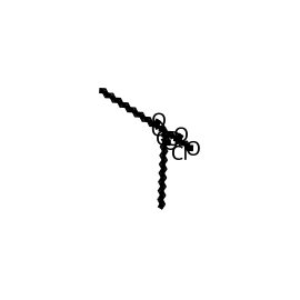 CCCCCCCCCCCCCCCC(=O)OCC(COC(=O)CCC(=O)Cl)OC(=O)CCCCCCCCCCCCCCC